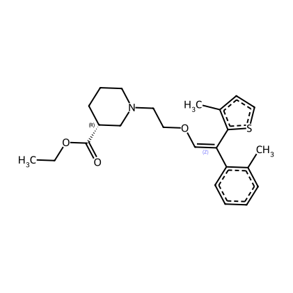 CCOC(=O)[C@@H]1CCCN(CCO/C=C(/c2ccccc2C)c2sccc2C)C1